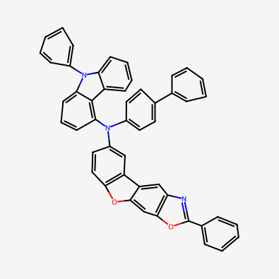 c1ccc(-c2ccc(N(c3ccc4oc5cc6oc(-c7ccccc7)nc6cc5c4c3)c3cccc4c3c3ccccc3n4-c3ccccc3)cc2)cc1